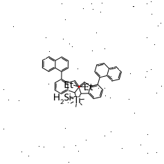 CCC1=Cc2c(-c3cccc4ccccc34)cccc2[CH]1[Ti]([CH3])([CH3])([CH3])([CH3])(=[SiH2])[CH]1C(CC)=Cc2c(-c3cccc4ccccc34)cccc21